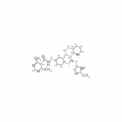 Cc1ncc(CN(Cc2ccc(CNC(=O)c3c(C)ncnc3C)cc2)C2CCCc3cccnc32)[nH]1